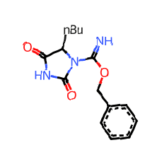 CCCCC1C(=O)NC(=O)N1C(=N)OCc1ccccc1